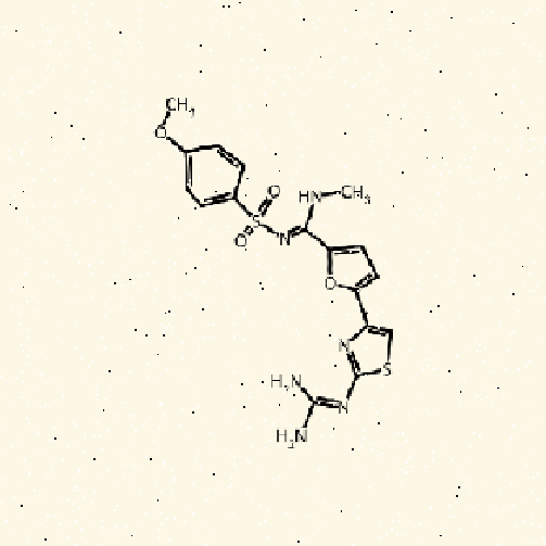 CNC(=NS(=O)(=O)c1ccc(OC)cc1)c1ccc(-c2csc(N=C(N)N)n2)o1